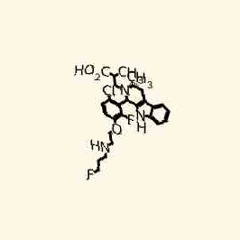 CC(CN1C(c2c(Cl)ccc(OCCNCCCF)c2F)c2[nH]c3ccccc3c2C[C@H]1C)C(=O)O